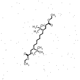 CCOC(=O)CCN(CCCCCCN(CCC(=O)OCC)[Si](C)(C)C)[Si](C)(C)C